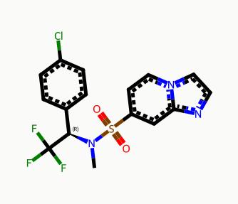 CN([C@H](c1ccc(Cl)cc1)C(F)(F)F)S(=O)(=O)c1ccn2ccnc2c1